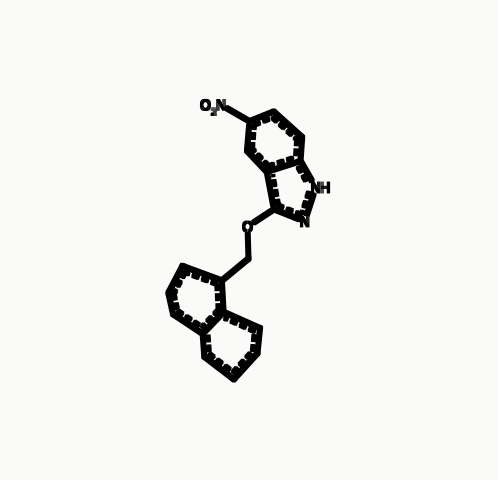 O=[N+]([O-])c1ccc2[nH]nc(OCc3cccc4ccccc34)c2c1